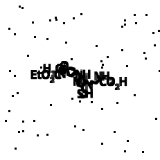 CCOC(=O)N=S(C)(=O)c1ccc(Nc2ncc(-c3cccs3)c(NCC[C@H](N)C(=O)O)n2)cc1